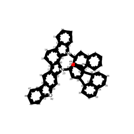 c1ccc2cc(-n3c4ccccc4c4ccc5c6cc7c(cc6n(-c6ccc8c(c6)-c6cccc9cccc-8c69)c5c43)oc3ccccc37)ccc2c1